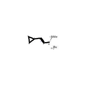 CC[C@H](C)[C@H](/C=C/C1CC1)NC